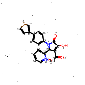 CC(C)(C)C(=O)C1=C(O)C(=O)N(c2ccc(-c3ccsc3)cc2)C1c1cccc[n+]1[O-]